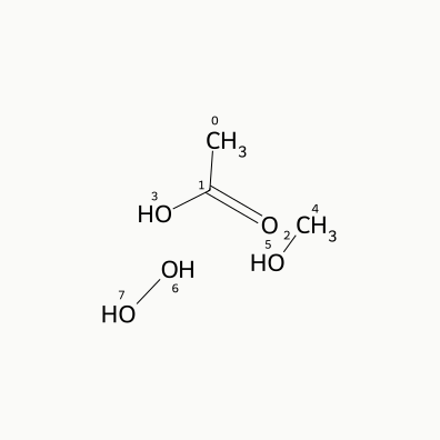 CC(=O)O.CO.OO